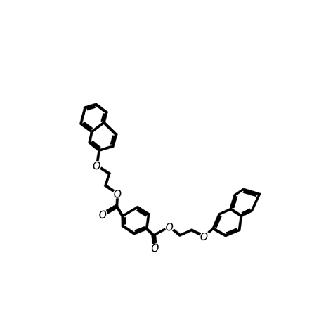 O=C(OCCOc1ccc2ccccc2c1)c1ccc(C(=O)OCCOc2ccc3ccccc3c2)cc1